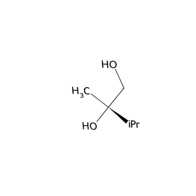 CC(C)[C@](C)(O)CO